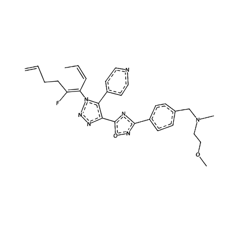 C=CCC/C(F)=C(\C=C/C)n1nnc(-c2nc(-c3ccc(CN(C)CCOC)cc3)no2)c1-c1ccncc1